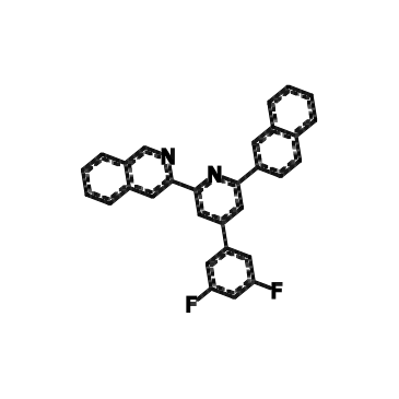 Fc1cc(F)cc(-c2cc(-c3ccc4ccccc4c3)nc(-c3cc4ccccc4cn3)c2)c1